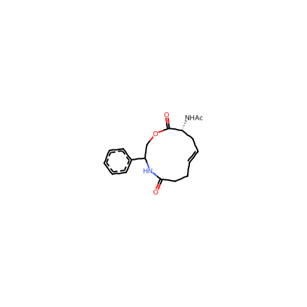 CC(=O)N[C@@H]1C/C=C/CCC(=O)NC(c2ccccc2)COC1=O